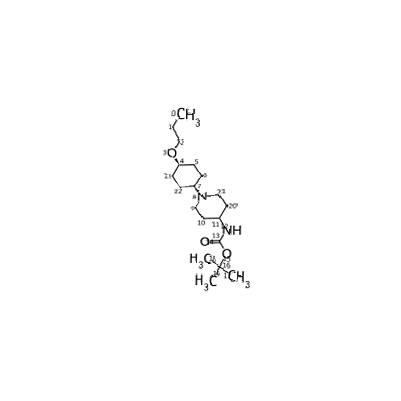 CCCO[C@H]1CC[C@@H](N2CCC(NC(=O)OC(C)(C)C)CC2)CC1